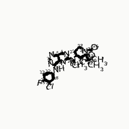 CN(c1ncc2ncnc(Nc3ccc(F)c(Cl)c3)c2n1)C1CCN2C(=O)OC2(C(C)(C)C)C1